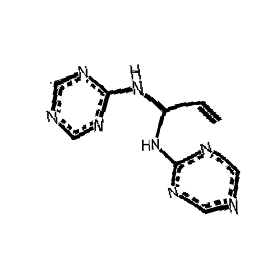 C=CC(Nc1n[c]ncn1)Nc1ncncn1